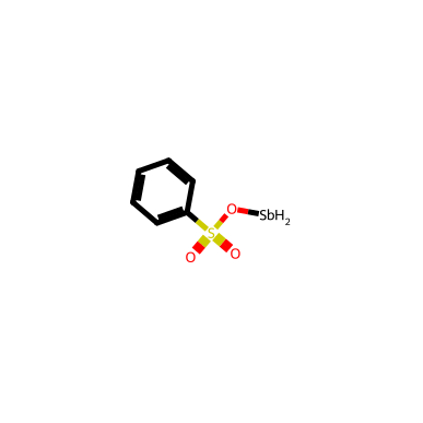 O=S(=O)([O][SbH2])c1ccccc1